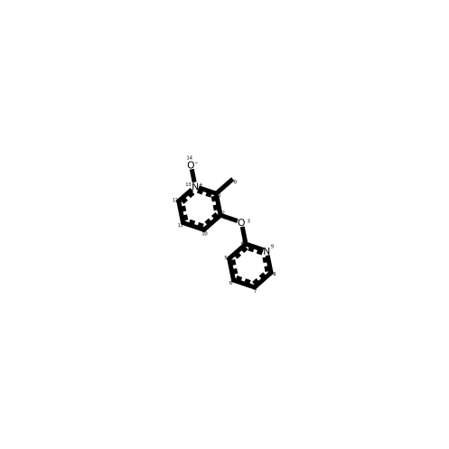 Cc1c(Oc2cc[c]cn2)ccc[n+]1[O-]